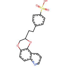 O=S(=O)(O)c1ccc(CCC2COc3ccc4ncccc4c3O2)cc1